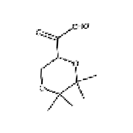 CC1(C)OCC(C(=O)C=O)OC1(C)C